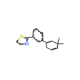 CC1(C)C=CCC(c2cccc(-c3nccs3)c2)=C1